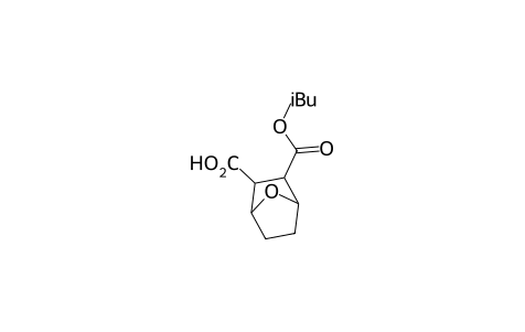 CCC(C)OC(=O)C1C2CCC(O2)C1C(=O)O